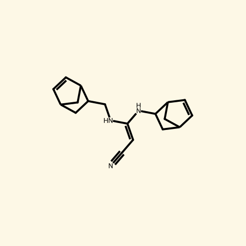 N#C/C=C(\NCC1CC2C=CC1C2)NC1CC2C=CC1C2